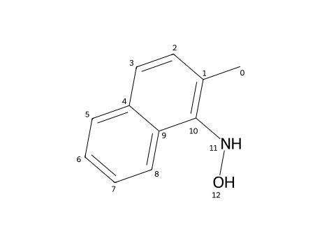 Cc1ccc2ccccc2c1NO